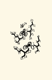 CCCCC(CC)COP(=O)([O-])CC(CC)CCCC.CCCCC(CC)COP(=O)([O-])CC(CC)CCCC.[Ni+2]